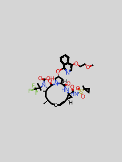 COCCOc1cnc(O[C@@H]2C[C@H]3C(=O)N[C@]4(C(=O)NS(=O)(=O)C5(C)CC5)C[C@H]4C=CCC[C@@H](C)C[C@@H](C)[C@H](N(C(=O)O)C(C)(C)C(F)(F)F)C(=O)N3C2)c2ccccc12